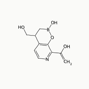 C=C(O)c1nccc2c1OB(O)CC2CO